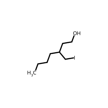 CCCCC(CI)CCO